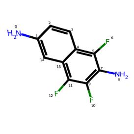 Nc1ccc2c(F)c(N)c(F)c(F)c2c1